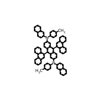 Cc1ccc(N(c2ccc3ccccc3c2)c2ccc3c(-c4cc5ccccc5c5ccccc45)c4cc(N(c5ccc(C)cc5)c5ccc6ccccc6c5)ccc4c(-c4cc5ccccc5c5ccccc45)c3c2)cc1